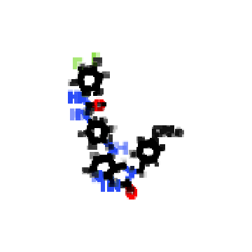 COc1ccc(CN2Cc3c(Nc4ccc(NC(=O)Nc5ccc(F)c(F)c5)cc4)ccnc3NC2=O)cc1